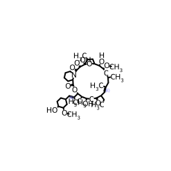 CCC1/C=C(\C)CC(C)CC(OC)C(O)C2CC(C)C(O)(O2)C(=O)C(=O)N2CCCCC2C(=O)OC(/C(C)=C/C2CCC(O)C(OC)C2)C(C)C(O)CC1=O